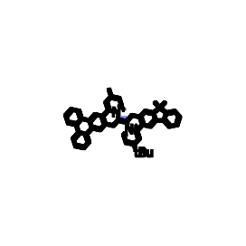 Cc1cc[n+]2c(c1)-c1cc3c4ccccc4c4ccccc4c3cc1C/C2=C1/Cc2cc3c(cc2-c2cc(C(C)(C)C)cc[n+]21)-c1ccccc1C3(C)C